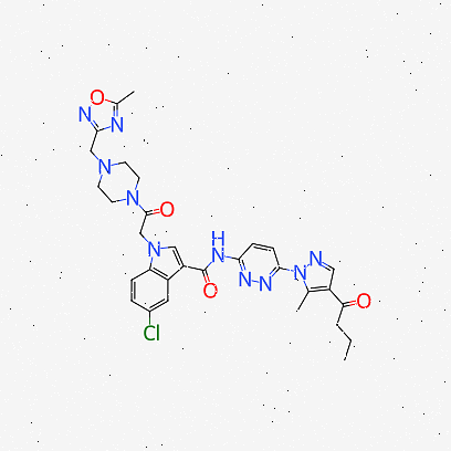 CCCC(=O)c1cnn(-c2ccc(NC(=O)c3cn(CC(=O)N4CCN(Cc5noc(C)n5)CC4)c4ccc(Cl)cc34)nn2)c1C